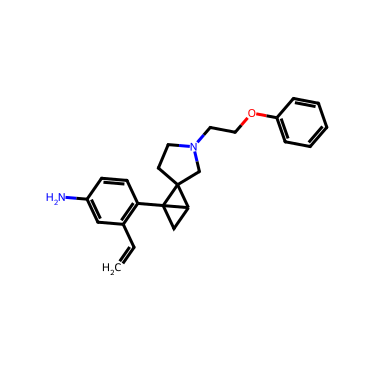 C=Cc1cc(N)ccc1C12CC1C21CCN(CCOc2ccccc2)C1